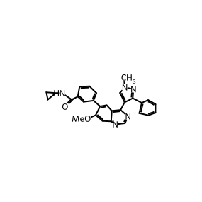 COc1cc2ncnc(-c3cn(C)nc3-c3ccccc3)c2cc1-c1cccc(C(=O)NC2CC2)c1